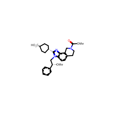 COC(=O)N1CCc2ccc3c(nc([C@H]4CC[C@H](C(=O)O)CC4)n3C[C@H](OC)c3ccccc3)c2C1